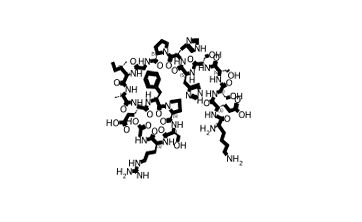 CC[C@H](C)[C@H](NC(=O)CNC(=O)[C@@H]1CCCN1C(=O)[C@H](Cc1c[nH]cn1)NC(=O)[C@H](Cc1c[nH]cn1)NC(=O)[C@H](CO)NC(=O)[C@H](CO)NC(=O)[C@H](CO)NC(=O)[C@H](CCC(=O)O)NC(=O)[C@@H](N)CCCCN)C(=O)N[C@@H](C)C(=O)N[C@@H](CCC(=O)O)C(=O)N[C@@H](Cc1ccccc1)C(=O)N1CCC[C@H]1C(=O)N[C@@H](CO)C(=O)N[C@@H](CCCNC(=N)N)C(=O)NCC(=O)O